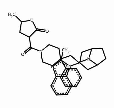 Cc1nc2ccccc2n1C1CC2CCC(C1)N2CCC1(c2ccccc2)CCN(C(=O)C2CC(C)OC2=O)CC1